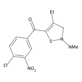 CCC1=C(C(=O)c2ccc(Cl)c([N+](=O)[O-])c2)SN(NC)C1